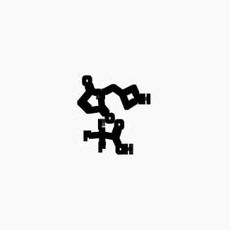 O=C(O)C(F)(F)F.O=C1C=CC(=O)N1CC1CNC1